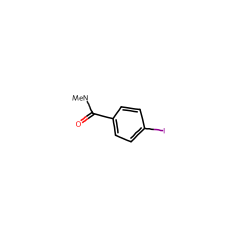 [CH2-][NH2+]C(=O)c1ccc(I)cc1